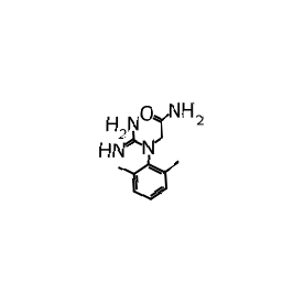 Cc1cccc(C)c1N(CC(N)=O)C(=N)N